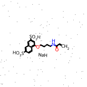 C=CC(=O)NCCCCOc1cc(S(=O)(=O)O)cc2cc(S(=O)(=O)O)ccc12.[NaH]